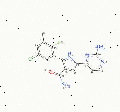 Cc1cc(Cl)cc(-c2[nH]c(-c3ccnc(N)n3)cc2C(N)=O)c1F